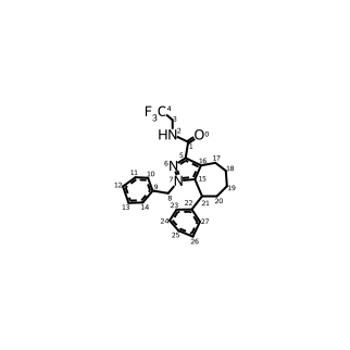 O=C(NCC(F)(F)F)c1nn(Cc2ccccc2)c2c1CCCCC2c1ccccc1